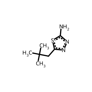 CC(C)(C)Cc1nnc(N)s1